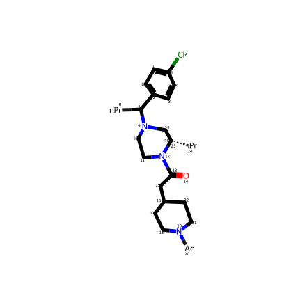 CCCC(c1ccc(Cl)cc1)N1CCN(C(=O)CC2CCN(C(C)=O)CC2)[C@@H](C(C)C)C1